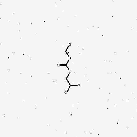 O=C(OCCl)OCC(Cl)Cl